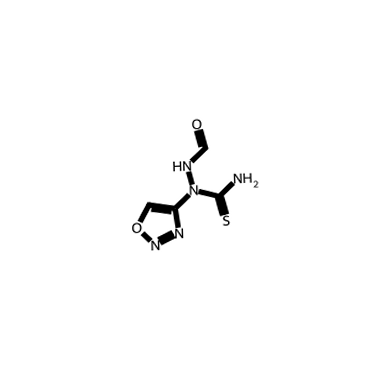 NC(=S)N(NC=O)c1conn1